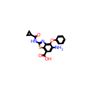 Nc1cc(C(=O)O)c2sc(NC(=O)C3CC3)nc2c1Oc1ccccc1